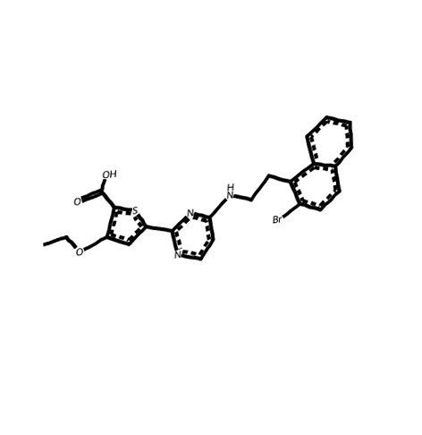 CCOc1cc(-c2nccc(NCCc3c(Br)ccc4ccccc34)n2)sc1C(=O)O